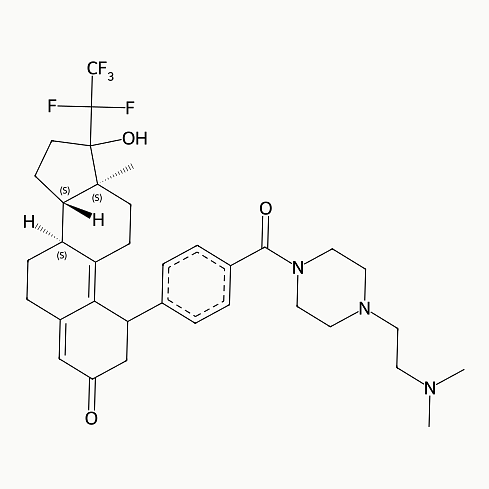 CN(C)CCN1CCN(C(=O)c2ccc(C3CC(=O)C=C4CC[C@@H]5C(=C43)CC[C@@]3(C)[C@H]5CCC3(O)C(F)(F)C(F)(F)F)cc2)CC1